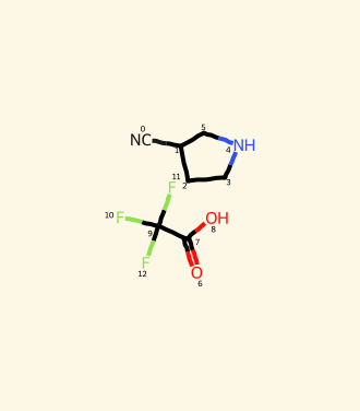 N#CC1CCNC1.O=C(O)C(F)(F)F